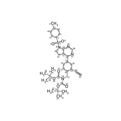 Cc1ccc(S(=O)(=O)n2ccc3c(-c4ccc(CN(C(=O)OC(C)(C)C)C(=O)OC(C)(C)C)c(C#N)c4)ncnc32)cc1